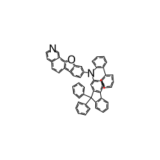 c1ccc(-c2ccccc2N(c2ccc3c(c2)C(c2ccccc2)(c2ccccc2)c2ccccc2-3)c2ccc3c(c2)oc2c4cnccc4ccc32)cc1